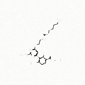 COC(=O)c1ccc(C)c(-c2cc(SCCNC(=O)CCCCCN)nc(N)n2)c1C